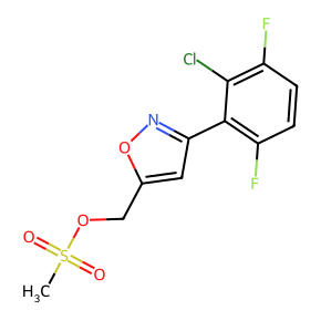 CS(=O)(=O)OCc1cc(-c2c(F)ccc(F)c2Cl)no1